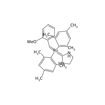 COc1ccccc1[CH]=[Ru](=[C]1NCCN1)([c]1c(C)cc(C)cc1C)[c]1c(C)cc(C)cc1C